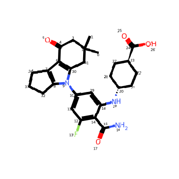 CC1(C)CC(=O)c2c3c(n(-c4cc(F)c(C(N)=O)c(N[C@H]5CC[C@H](C(=O)O)CC5)c4)c2C1)CCC3